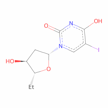 CC[C@H]1O[C@@H](n2cc(I)c(O)nc2=O)C[C@@H]1O